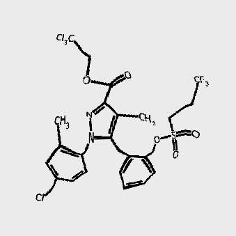 Cc1cc(Cl)ccc1-n1nc(C(=O)OCC(Cl)(Cl)Cl)c(C)c1-c1ccccc1OS(=O)(=O)CCC(F)(F)F